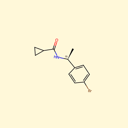 C[C@H](NC(=O)C1CC1)c1ccc(Br)cc1